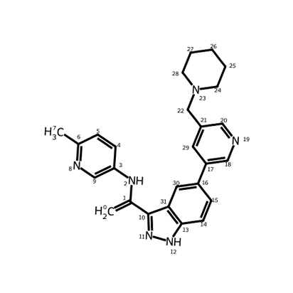 C=C(Nc1ccc(C)nc1)c1n[nH]c2ccc(-c3cncc(CN4CCCCC4)c3)cc12